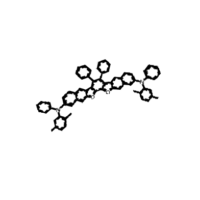 Cc1ccc(C)c(N(c2ccccc2)c2ccc3cc4c(cc3c2)oc2c3oc5cc6cc(N(c7ccccc7)c7cc(C)ccc7C)ccc6cc5c3c(-c3ccccc3)c(-c3ccccc3)c42)c1